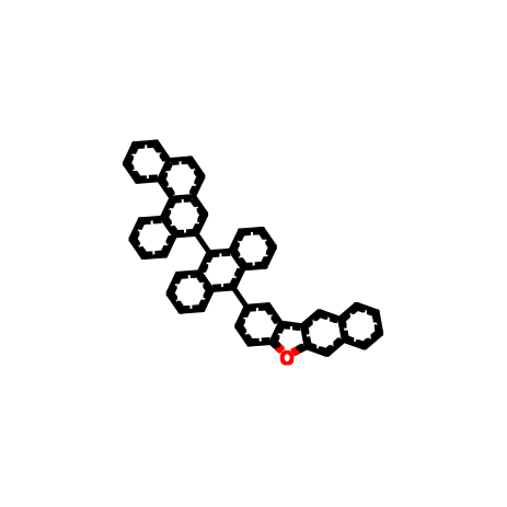 c1ccc2cc3c(cc2c1)oc1ccc(-c2c4ccccc4c(-c4cc5ccc6ccccc6c5c5ccccc45)c4ccccc24)cc13